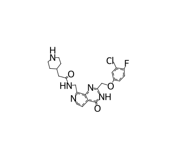 O=C(CC1CCNCC1)NCc1nccc2c(=O)[nH]c(COc3ccc(F)c(Cl)c3)nc12